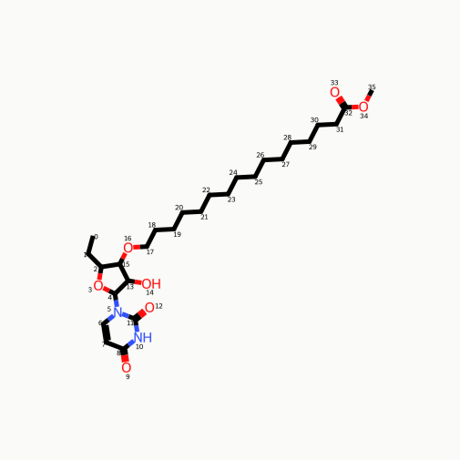 CCC1OC(n2ccc(=O)[nH]c2=O)C(O)C1OCCCCCCCCCCCCCCCC(=O)OC